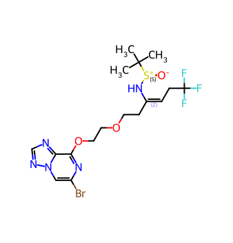 CC(C)(C)[S@@+]([O-])N/C(=C\CC(F)(F)F)CCOCCOc1nc(Br)cn2ncnc12